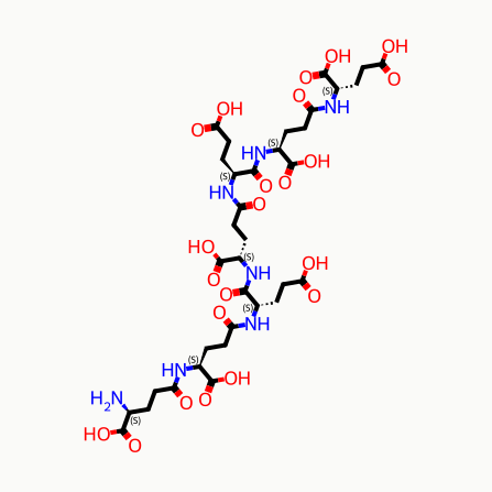 N[C@@H](CCC(=O)N[C@@H](CCC(=O)N[C@@H](CCC(=O)O)C(=O)N[C@@H](CCC(=O)N[C@@H](CCC(=O)O)C(=O)N[C@@H](CCC(=O)N[C@@H](CCC(=O)O)C(=O)O)C(=O)O)C(=O)O)C(=O)O)C(=O)O